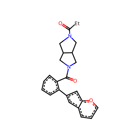 CCC(=O)N1CC2CN(C(=O)c3ccccc3-c3cc4cccoc-4c3)CC2C1